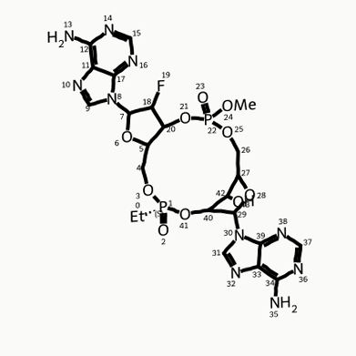 CC[P@]1(=O)OCC2OC(n3cnc4c(N)ncnc43)C(F)C2OP(=O)(OC)OCC2OC(n3cnc4c(N)ncnc43)C(O1)C2O